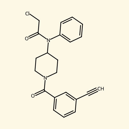 C#Cc1cccc(C(=O)N2CCC(N(C(=O)CCl)c3ccccc3)CC2)c1